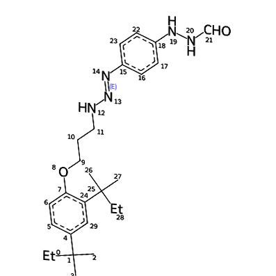 CCC(C)(C)c1ccc(OCCCN/N=N/c2ccc(NNC=O)cc2)c(C(C)(C)CC)c1